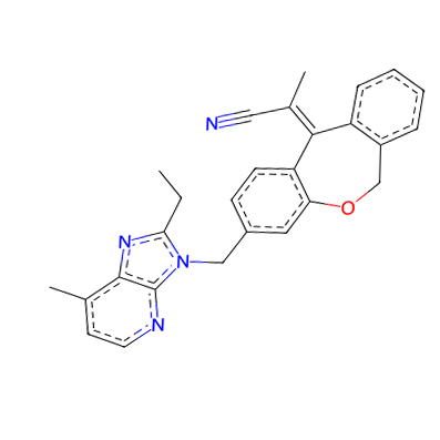 CCc1nc2c(C)ccnc2n1Cc1ccc2c(c1)OCc1ccccc1C2=C(C)C#N